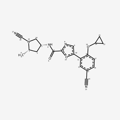 C[C@H]1C[C@@H](NC(=O)c2ncc(-c3cc(C#N)ccc3OC3CC3)o2)CN1C#N